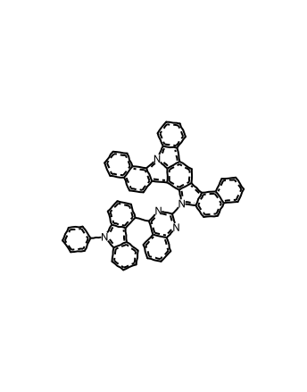 c1ccc(-n2c3ccccc3c3c(-c4nc(-n5c6ccc7ccccc7c6c6cc7c8ccccc8n8c9c%10ccccc%10ccc9c(c65)c78)nc5ccccc45)cccc32)cc1